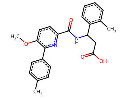 COc1ccc(C(=O)NC(CC(=O)O)c2ccccc2C)nc1-c1ccc(C)cc1